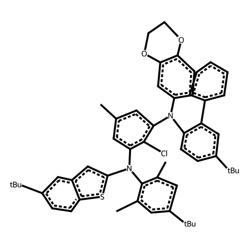 Cc1cc(N(c2ccc3c(c2)OCCO3)c2ccc(C(C)(C)C)cc2-c2ccccc2)c(Cl)c(N(c2cc3cc(C(C)(C)C)ccc3s2)c2c(C)cc(C(C)(C)C)cc2C)c1